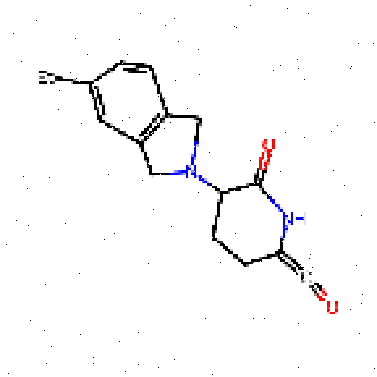 CCc1ccc2c(c1)CN(C1CCC(=C=O)NC1=O)C2